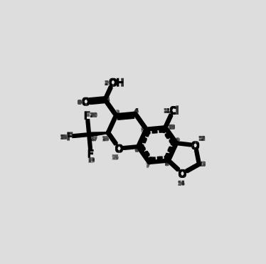 O=C(O)C1=Cc2c(cc3c(c2Cl)OCO3)O[C@H]1C(F)(F)F